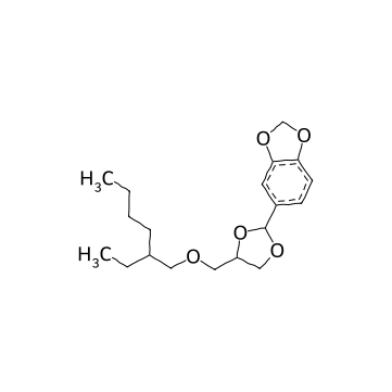 CCCCC(CC)COCC1COC(c2ccc3c(c2)OCO3)O1